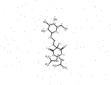 CC(C)N[PH]1(NC(C)C)OC(=O)C(F)(CCOC2O[C@H](CO)[C@@H](O)[C@H](O)[C@H]2O)C(=O)O1